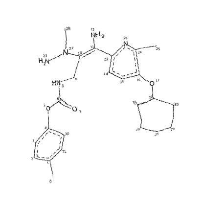 Cc1ccc(OC(=O)NC/C(=C(/N)c2ccc(OC3CCCCC3)c(C)n2)N(C)N)cc1